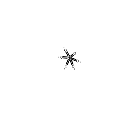 [O]=[Ho](=[O])(=[O])(=[O])(=[O])=[O]